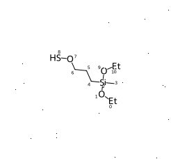 CCO[Si](C)(CCCOS)OCC